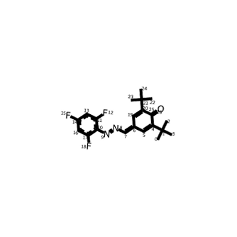 CC(C)(C)C1=CC(=CN=Nc2c(F)cc(F)cc2F)C=C(C(C)(C)C)C1=O